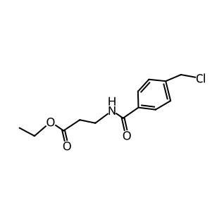 CCOC(=O)CCNC(=O)c1ccc(CCl)cc1